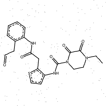 CCN1CCN(C(=O)Nc2ccsc2CC(=O)Nc2ccccc2C[C]=O)C(=O)C1=O